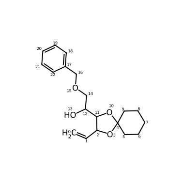 C=CC1OC2(CCCCC2)OC1C(O)COCc1ccccc1